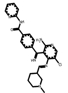 CN1CCCC(C=Nc2c(Cl)cnc(N)c2C(=N)c2ccc(C(=O)Nc3ccccn3)cc2)C1